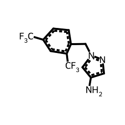 Nc1cnn(Cc2ccc(C(F)(F)F)cc2C(F)(F)F)c1